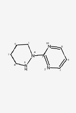 c1cnc(N2CCCCN2)nc1